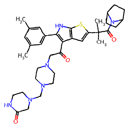 Cc1cc(C)cc(-c2[nH]c3sc(C(C)(C)C(=O)N4C5CCC4CC5)cc3c2C(=O)CN2CCN(CN3CCNC(=O)C3)CC2)c1